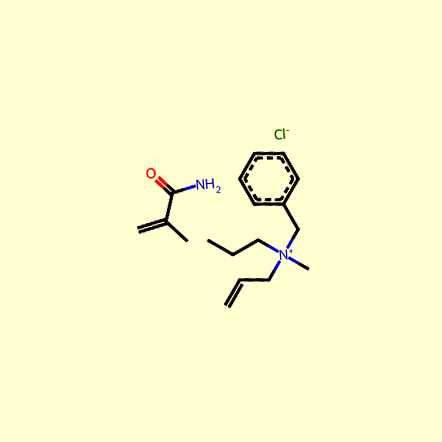 C=C(C)C(N)=O.C=CC[N+](C)(CCC)Cc1ccccc1.[Cl-]